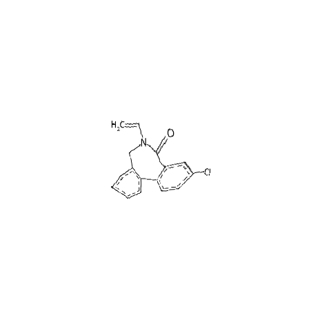 C=CN1Cc2ccccc2-c2ccc(Cl)cc2C1=O